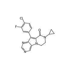 O=C1c2c(-c3ccc(Cl)c(F)c3)c3ncncc3n2CCN1C1CC1